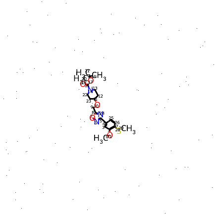 COc1cc(-c2noc(COC3CCN(C(=O)OC(C)(C)C)CC3)n2)ccc1SC